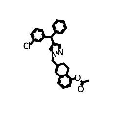 CC(=O)Oc1cccc2c1CCC(Cn1cc(C(c3ccccc3)c3cccc(Cl)c3)cn1)=C2